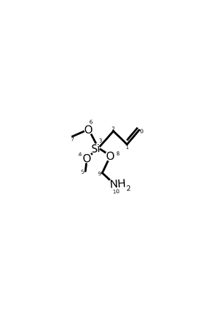 C=CC[Si](OC)(OC)OCN